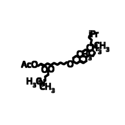 CC(=O)OC/C=C/CC(CCCCCO[C@H]1CC[C@@]2(C)C(=CCC3C2CC[C@@]2(C)C3CC[C@@H]2[C@H](C)CCCC(C)C)C1)OC(=O)CCCN(C)C